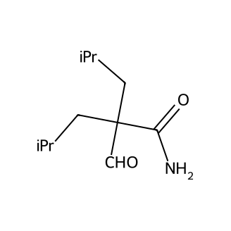 CC(C)CC(C=O)(CC(C)C)C(N)=O